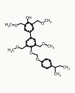 CCC(C)c1ccc(OCOc2c(COC)cc(-c3cc(COC)c(O)c(COC)c3)cc2COC)cc1